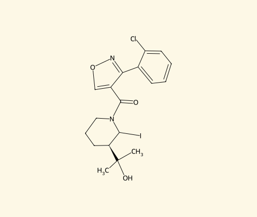 CC(C)(O)[C@H]1CCCN(C(=O)c2conc2-c2ccccc2Cl)C1I